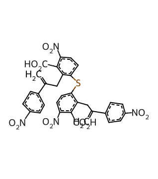 C=C(Cc1c(Sc2ccc([N+](=O)[O-])c(C(=O)O)c2CC(=C)c2ccc([N+](=O)[O-])cc2)ccc([N+](=O)[O-])c1C(=O)O)c1ccc([N+](=O)[O-])cc1